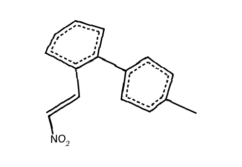 Cc1ccc(-c2ccccc2C=C[N+](=O)[O-])cc1